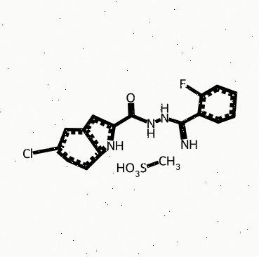 CS(=O)(=O)O.N=C(NNC(=O)c1cc2cc(Cl)ccc2[nH]1)c1ccccc1F